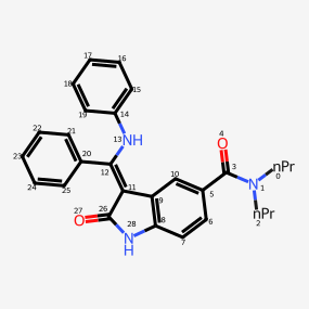 CCCN(CCC)C(=O)c1ccc2c(c1)C(=C(Nc1ccccc1)c1ccccc1)C(=O)N2